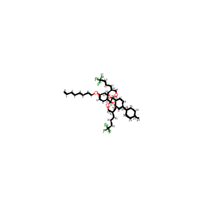 CCCCCCCCOC1CCC(C2(C3(C4CCC(C5CCC(C)CC5)CC4)OCC(CCCC(F)(F)F)CO3)OCC(CCCC(F)(F)F)CO2)CC1